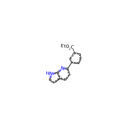 CCOC(=O)c1cccc(-c2ccc3cc[nH]c3n2)c1